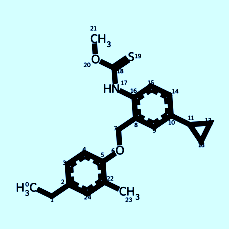 CCc1ccc(OCc2cc(C3CC3)ccc2NC(=S)OC)c(C)c1